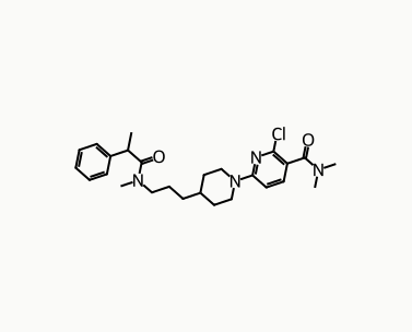 CC(C(=O)N(C)CCCC1CCN(c2ccc(C(=O)N(C)C)c(Cl)n2)CC1)c1ccccc1